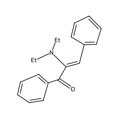 CCN(CC)C(=Cc1ccccc1)C(=O)c1ccccc1